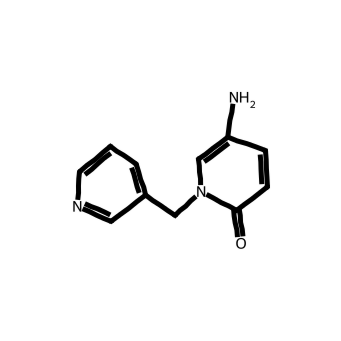 Nc1ccc(=O)n(Cc2cccnc2)c1